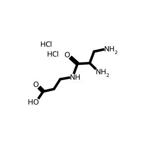 Cl.Cl.NCC(N)C(=O)NCCC(=O)O